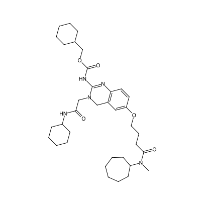 CN(C(=O)CCCOc1ccc2c(c1)CN(CC(=O)NC1CCCCC1)C(NC(=O)OCC1CCCCC1)=N2)C1CCCCCC1